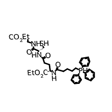 CCOC(=O)CNC(=O)[C@H](CS)NC(=O)CC[C@H](NC(=O)CCCC[PH](c1ccccc1)(c1ccccc1)c1ccccc1)C(=O)OCC